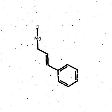 [Cl][Mg][CH2]/C=C/c1ccccc1